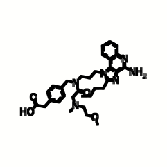 CCCCc1nc2c(N)nc3ccccc3c2n1CCCN(Cc1ccc(CC(=O)O)cc1)C(=O)CN(C)CCOC